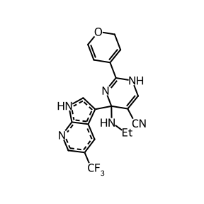 CCNC1(c2c[nH]c3ncc(C(F)(F)F)cc23)N=C(C2=CCOC=C2)NC=C1C#N